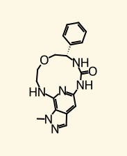 Cn1ncc2cc3nc(c21)NCCOC[C@H](c1ccccc1)NC(=O)N3